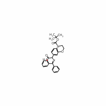 CC(C)(C)OC(=O)N1CCOc2cc(C(N=C(c3ccccc3)c3ccccc3)C(N)=O)ccc21